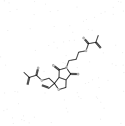 C=CC1(COC(=O)C(=C)C)OCC2C(=O)N(CCCOC(=O)C(=C)C)C(=O)C21